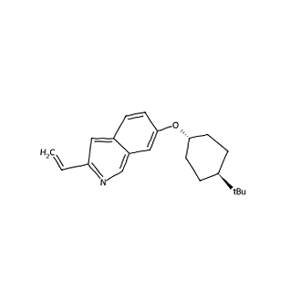 C=Cc1cc2ccc(O[C@H]3CC[C@H](C(C)(C)C)CC3)cc2cn1